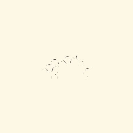 CCOC(=O)C1CN(C(=O)c2ccc(-c3ccc4cc(C)cc(C(F)(F)F)c4n3)cc2)C1